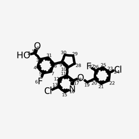 O=C(O)c1cc(F)cc(C2=C(c3cc(Cl)cnc3OCc3ccc(Cl)cc3F)CCC2)c1